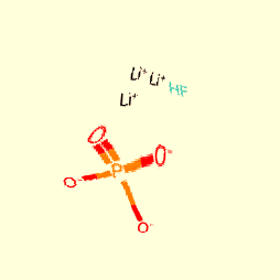 F.O=P([O-])([O-])[O-].[Li+].[Li+].[Li+]